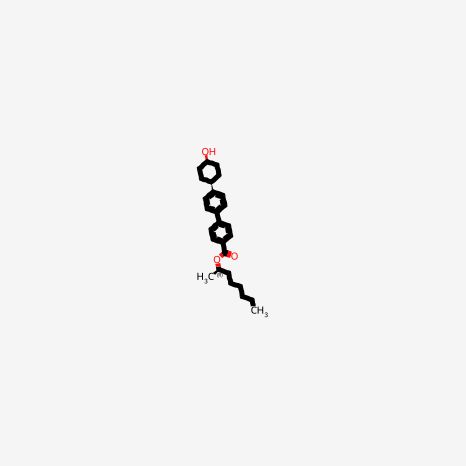 CCCCCC[C@@H](C)OC(=O)c1ccc(-c2ccc([C@H]3CC[C@H](O)CC3)cc2)cc1